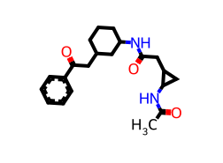 CC(=O)NC1CC1CC(=O)NC1CCCC(CC(=O)c2ccccc2)C1